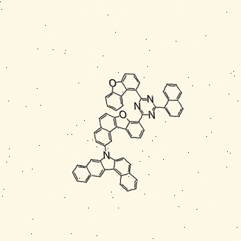 c1ccc2cc3c(cc2c1)c1c2ccccc2ccc1n3-c1ccc2ccc3oc4c(-c5nc(-c6cccc7ccccc67)nc(-c6cccc7oc8ccccc8c67)n5)cccc4c3c2c1